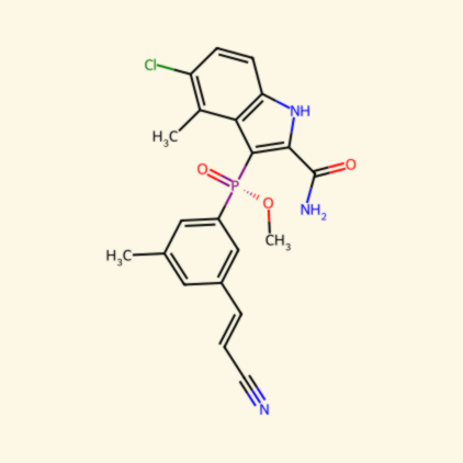 CO[P@@](=O)(c1cc(C)cc(/C=C/C#N)c1)c1c(C(N)=O)[nH]c2ccc(Cl)c(C)c12